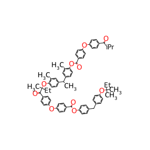 CCC(C)(C)Oc1ccc(Cc2ccc(OC(=O)c3ccc(Oc4ccc(C(=O)[C@@](C)(CC)Oc5ccc(C(C)c6ccc(OC(=O)c7ccc(Oc8ccc(C(=O)C(C)C)cc8)cc7)c(C)c6)cc5C)cc4)cc3)cc2)cc1